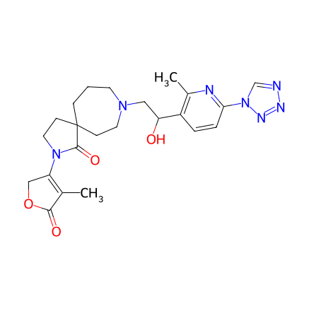 CC1=C(N2CCC3(CCCN(CC(O)c4ccc(-n5cnnn5)nc4C)CC3)C2=O)COC1=O